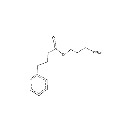 CCCCCCCCCCCCOC(=O)CCCc1ccccc1